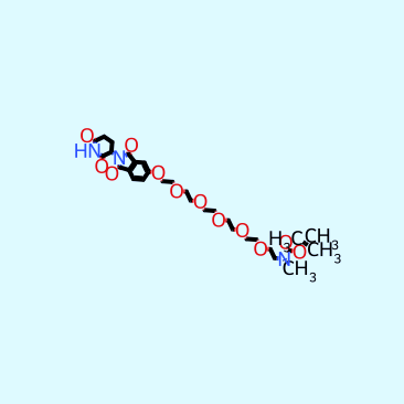 CN(CCOCCOCCOCCOCCOCCOc1ccc2c(c1)C(=O)N(C1CCC(=O)NC1=O)C2=O)C(=O)OC(C)(C)C